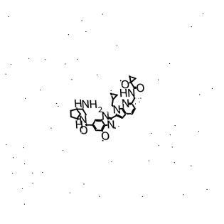 COc1cc(C(=O)N2C[C@H](N)[C@@H]3CC[C@H]2C3)cc2nc(-c3cc4ccc([C@@H](C)NC(=O)C5(OC)CC5)nc4n3CC3CC3)n(C)c12